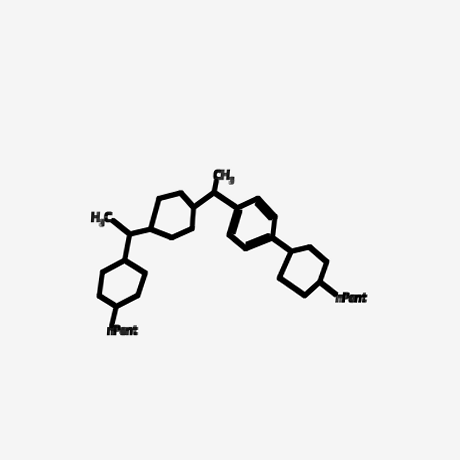 CCCCCC1CCC(c2ccc(C(C)C3CCC(C(C)C4CCC(CCCCC)CC4)CC3)cc2)CC1